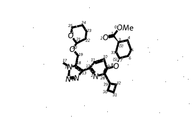 COC(=O)[C@H]1CCC[C@H](Oc2ccc(-c3nnn(C)c3COC3CCCCO3)nc2C2CCC2)C1